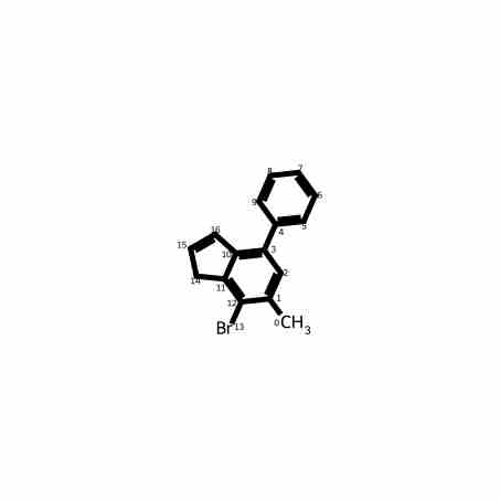 Cc1cc(-c2ccccc2)c2c(c1Br)CC=C2